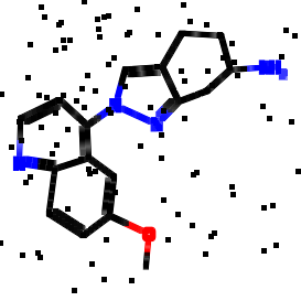 COc1ccc2nccc(-n3cc4c(n3)CC(N)CC4)c2c1